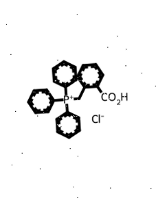 O=C(O)c1ccccc1C[P+](c1ccccc1)(c1ccccc1)c1ccccc1.[Cl-]